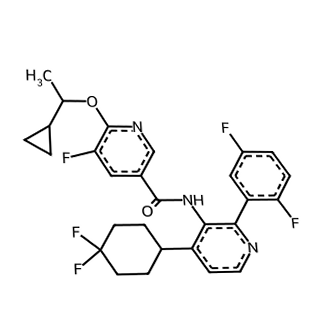 CC(Oc1ncc(C(=O)Nc2c(C3CCC(F)(F)CC3)ccnc2-c2cc(F)ccc2F)cc1F)C1CC1